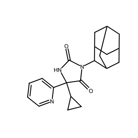 O=C1NC(c2ccccn2)(C2CC2)C(=O)N1C1C2CC3CC(C2)CC1C3